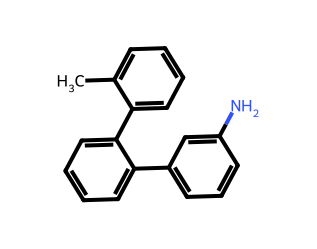 Cc1ccccc1-c1ccccc1-c1cccc(N)c1